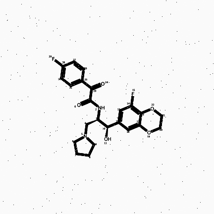 O=C(N[C@H](CN1CCCC1)[C@H](O)c1cc(F)c2c(c1)OCCO2)C(=O)c1ccc(F)cc1